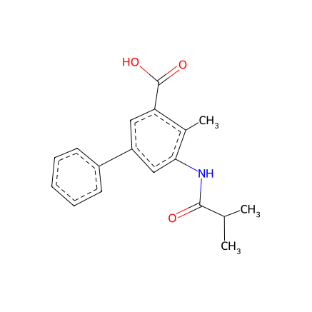 Cc1c(NC(=O)C(C)C)cc(-c2ccccc2)cc1C(=O)O